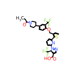 CCC(=O)N1CCC(c2ccc(OCc3ccsc3-c3cccc(-n4ncc(C(=O)O)c4C(F)(F)F)n3)c(C(F)(F)F)c2)CC1